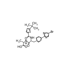 CC(NC(=O)C(Cc1ccc(-c2ncc(Br)cn2)cc1)NC(=O)c1ccc(C(C)(C)C)s1)C(=O)O